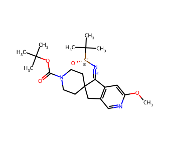 COc1cc2c(cn1)CC1(CCN(C(=O)OC(C)(C)C)CC1)/C2=N\[S@+]([O-])C(C)(C)C